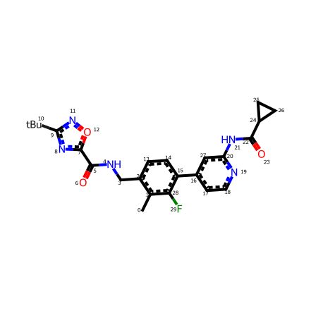 Cc1c(CNC(=O)c2nc(C(C)(C)C)no2)ccc(-c2ccnc(NC(=O)C3CC3)c2)c1F